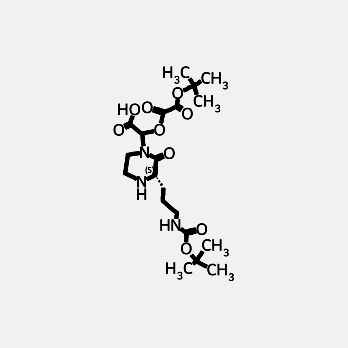 CC(C)(C)OC(=O)NCCC[C@@H]1NCCN(C(OC(=O)C(=O)OC(C)(C)C)C(=O)O)C1=O